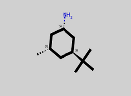 C[C@@H]1C[C@H](N)C[C@@H](C(C)(C)C)C1